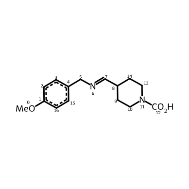 COc1ccc(C/N=C/C2CCN(C(=O)O)CC2)cc1